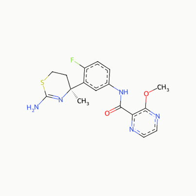 COc1nccnc1C(=O)Nc1ccc(F)c([C@]2(C)CCSC(N)=N2)c1